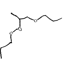 CCCOCC(C)OOCCC